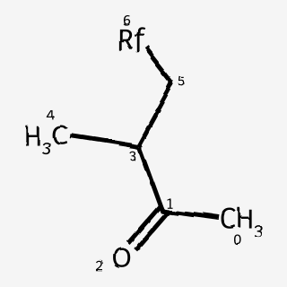 CC(=O)C(C)[CH2][Rf]